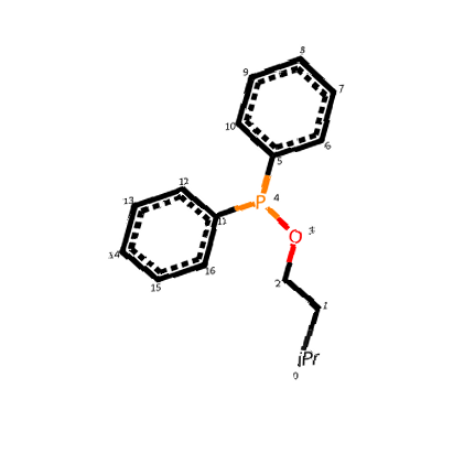 CC(C)CCOP(c1ccccc1)c1ccccc1